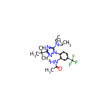 CCN(CC)c1nc(C(C)(C)C)nn1-c1ccc(C(F)(F)F)cc1NC(C)=O